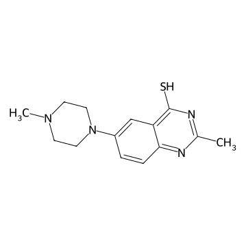 Cc1nc(S)c2cc(N3CCN(C)CC3)ccc2n1